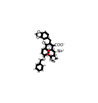 O=C([O-])/C(=C(\Cc1ccc2c(c1)OCO2)C(=O)c1ccc(OCc2ccccc2)cc1)c1ccc2nsnc2c1.[Na+]